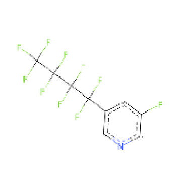 Fc1[c]ncc(C(F)(F)C(F)(F)C(F)(F)C(F)(F)F)c1